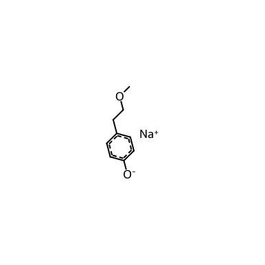 COCCc1ccc([O-])cc1.[Na+]